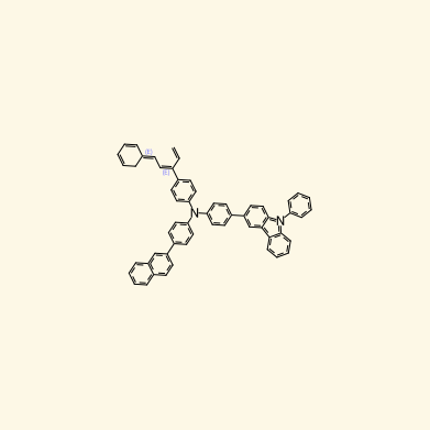 C=C/C(=C\C=C1\C=CC=CC1)c1ccc(N(c2ccc(-c3ccc4ccccc4c3)cc2)c2ccc(-c3ccc4c(c3)c3ccccc3n4-c3ccccc3)cc2)cc1